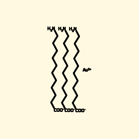 NCCCCCCCCCCC(=O)[O-].NCCCCCCCCCCC(=O)[O-].NCCCCCCCCCCC(=O)[O-].[Au+3]